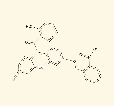 Cc1ccccc1C(=O)c1c2ccc(=O)cc-2oc2cc(OCc3ccccc3[N+](=O)[O-])ccc12